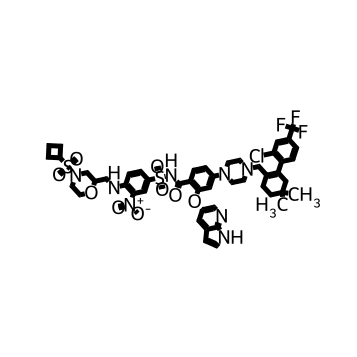 CC1(C)CCC(CN2CCN(c3ccc(C(=O)NS(=O)(=O)c4ccc(NCC5CN(S(=O)(=O)C6CCC6)CCO5)c([N+](=O)[O-])c4)c(Oc4cnc5[nH]ccc5c4)c3)CC2)=C(c2ccc(C(F)(F)F)cc2Cl)C1